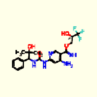 CC(C)(O)C(NC(=O)Nc1cc(N)c(C(=N)OC[C@@H](O)C(F)(F)F)cn1)c1ccccc1